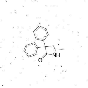 C[C@H]1CC(c2ccccc2)(c2ccccc2)C(=O)N1